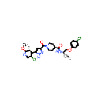 COc1cc(-c2cc(C(=O)N3CCC(C(=O)NC(C)COc4ccc(Cl)cc4)CC3)n[nH]2)c(Cl)cn1